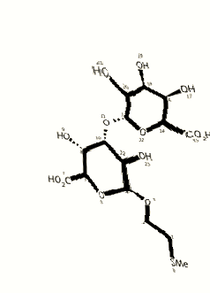 CSCCO[C@H]1OC(C(=O)O)[C@H](O)[C@H](O[C@H]2OC(C(=O)O)[C@H](O)[C@H](O)C2O)C1O